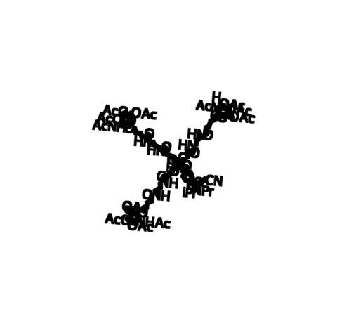 CC(=O)CNC1C(OCCCCC(=O)NCCCNC(=O)CCOCC(COCCC(=O)NCCCNC(=O)CCCCOC2OC(COC(C)=O)C(OC(C)=O)C(OC(C)=O)C2NC(C)=O)(COCCC(=O)NCCCNC(=O)CCCCOC2OC(COC(C)=O)C(OC(C)=O)C(OC(C)=O)C2NC(C)=O)NC(=O)c2ccc(OP(OCCC#N)N(C(C)C)C(C)C)cc2)OC(COC(C)=O)C(OC(C)=O)C1OC(C)=O